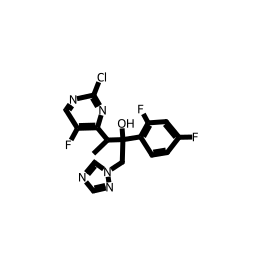 CC(c1nc(Cl)ncc1F)C(O)(Cn1cncn1)c1ccc(F)cc1F